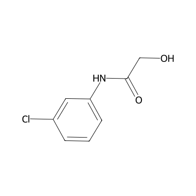 O=C(CO)Nc1cccc(Cl)c1